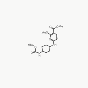 COC(=O)c1ccc(NC2CCC(NC(=O)OC(C)(C)C)CC2)nc1OC